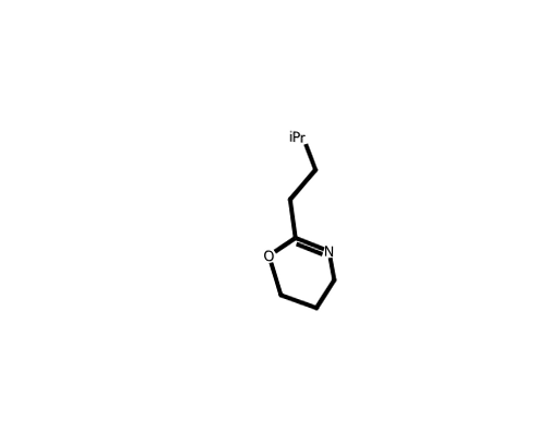 CC(C)CCC1=NCCCO1